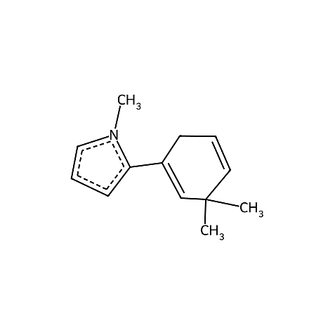 Cn1cccc1C1=CC(C)(C)C=CC1